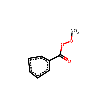 O=C(OO[N+](=O)[O-])c1ccccc1